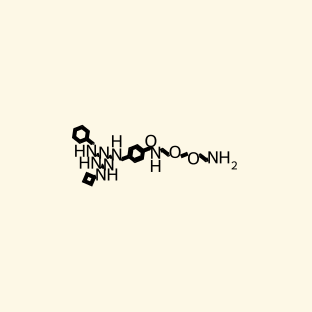 NCCOCCOCCNC(=O)c1ccc(CNC2=NC(NCC3CCCCC3)NC(NC3CCC3)=N2)cc1